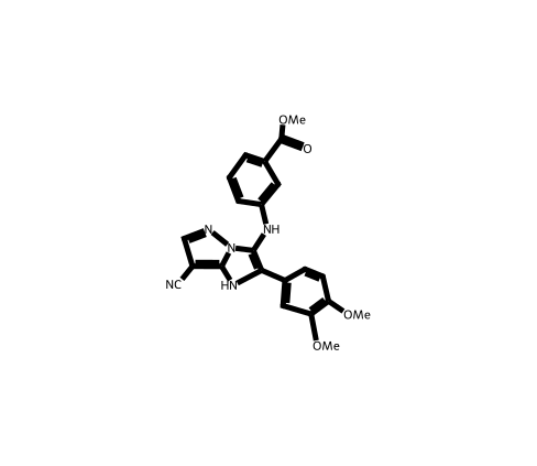 COC(=O)c1cccc(Nc2c(-c3ccc(OC)c(OC)c3)[nH]c3c(C#N)cnn23)c1